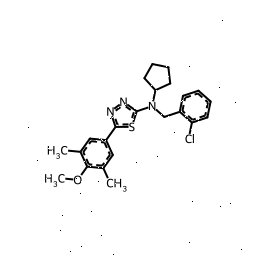 COc1c(C)cc(-c2nnc(N(Cc3ccccc3Cl)C3CCCC3)s2)cc1C